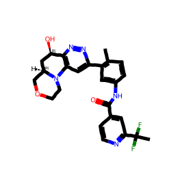 Cc1ccc(NC(=O)c2ccnc(C(C)(F)F)c2)cc1-c1cc2c(nn1)[C@H](O)C[C@@H]1COCCN21